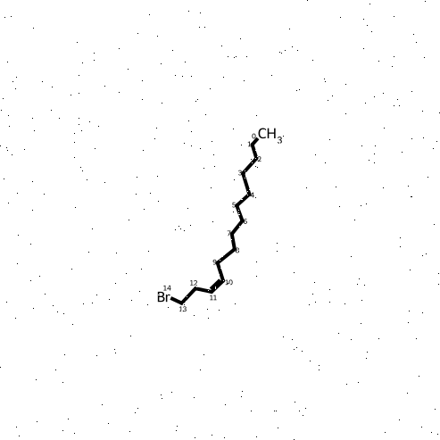 CCCCCCCCCC/C=C\CCBr